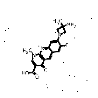 Cn1cc(C(=O)O)c(=O)c2cc3cc(F)c(N4CC(C)(N)C4)cc3nc21